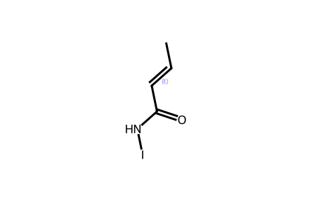 C/C=C/C(=O)NI